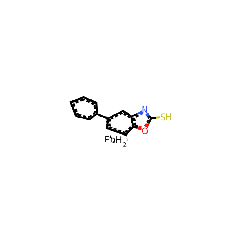 Sc1nc2cc(-c3ccccc3)ccc2o1.[PbH2]